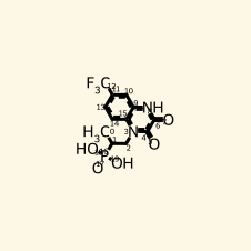 CC(Cn1c(=O)c(=O)[nH]c2cc(C(F)(F)F)ccc21)P(=O)(O)O